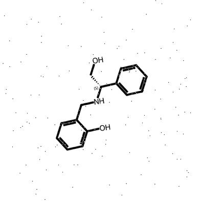 OC[C@@H](NCc1ccccc1O)c1ccccc1